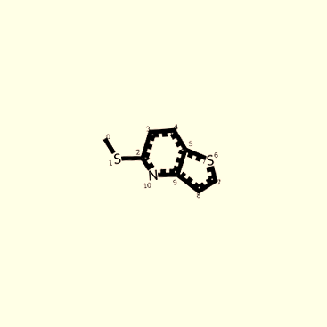 CSc1ccc2sccc2n1